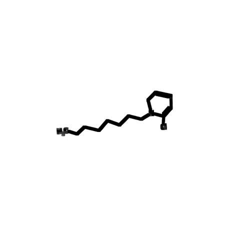 CCCCCCCCN1CC=CC=C1Cl